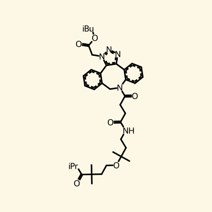 CCC(C)OC(=O)Cn1nnc2c1-c1ccccc1CN(C(=O)CCC(=O)NCCC(C)(C)OCCC(C)(C)C(=O)C(C)C)c1ccccc1-2